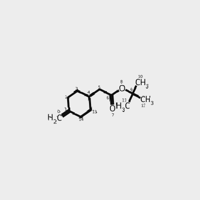 C=C1CCC(CC(=O)OC(C)(C)C)CC1